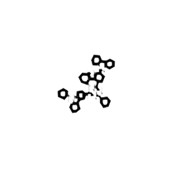 c1ccc(C2=NC(c3ccc(-n4c5ccccc5c5ccccc54)c4oc5ccccc5c34)=NC(c3ccc4c(c3)c3ccccc3n4-c3ccccc3)N2)cc1